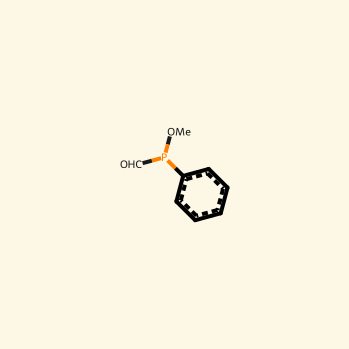 COP(C=O)c1ccccc1